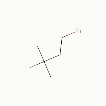 CC(C)(Cl)CCBr